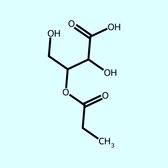 CCC(=O)OC(CO)C(O)C(=O)O